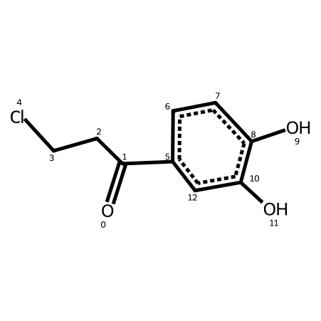 O=C(CCCl)c1ccc(O)c(O)c1